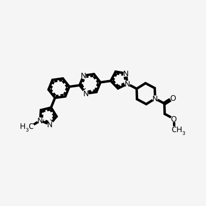 COCC(=O)N1CCC(n2cc(-c3cnc(-c4cccc(-c5cnn(C)c5)c4)nc3)cn2)CC1